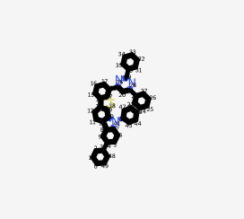 c1ccc(-c2ccc3c(c2)c2ccc4c5cccc(-c6cc(-c7ccccc7)nc(-c7ccccc7)n6)c5sc4c2n3-c2ccccc2)cc1